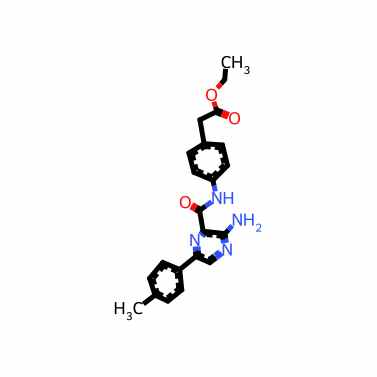 CCOC(=O)Cc1ccc(NC(=O)c2nc(-c3ccc(C)cc3)cnc2N)cc1